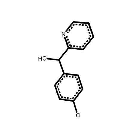 OC(c1ccc(Cl)cc1)c1ccccn1